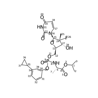 CC(C)OC(=O)[C@H](C)NP(=O)(OC[C@H]1O[C@@H](n2ccc(=O)[nH]c2=O)[C@](C)(F)[C@@H]1O)Oc1cccc(C2CC2)c1